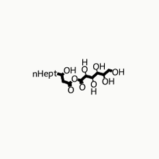 CCCCCCCC(O)CC(=O)OC(=O)[C@H](O)[C@@H](O)[C@H](O)[C@H](O)CO